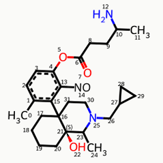 Cc1ccc(OC(=O)CCC(C)N)c(N=O)c1C12CCCC[C@@]1(O)C(C)N(CC1CC1)CC2